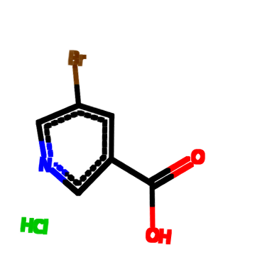 Cl.O=C(O)c1cncc(Br)c1